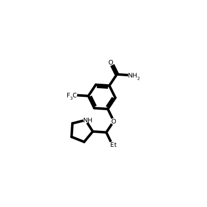 CCC(Oc1cc(C(N)=O)cc(C(F)(F)F)c1)C1CCCN1